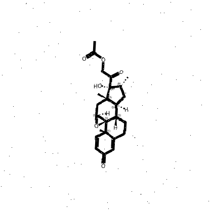 CC(=O)OCC(=O)[C@@]1(O)[C@H](C)C[C@H]2[C@@H]3CCC4=CC(=O)C=C[C@]4(C)[C@@]34O[C@H]4C[C@@]21C